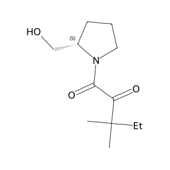 CCC(C)(C)C(=O)C(=O)N1CCC[C@H]1CO